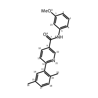 COc1cccc(NC(=O)c2ccc(-c3cc(C)ccc3C)nc2)c1